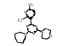 Cc1ccc(-c2nc(N3CCCCCC3)nc(N3CCOCC3)n2)c(C(F)(F)F)n1